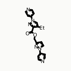 CCc1cn(-c2ccncc2)nc1C(=O)OCc1ccn(-c2ccncc2)n1